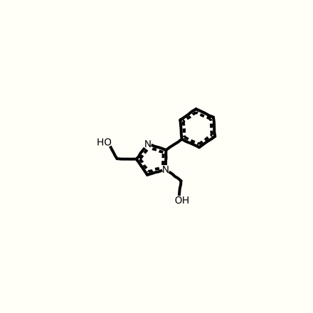 OCc1cn(CO)c(-c2ccccc2)n1